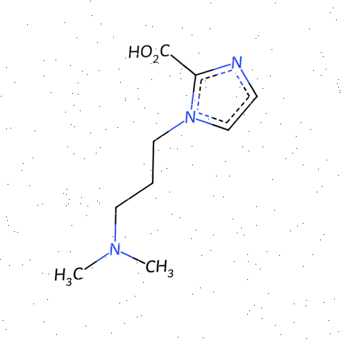 CN(C)CCCn1ccnc1C(=O)O